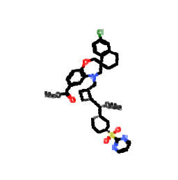 COC(=O)c1ccc2c(c1)N(C[C@@H]1CC[C@H]1[C@H](OC)[C@H]1CCC[C@@H](S(=O)(=O)c3ncccn3)C1)CC1(CCCc3cc(Cl)ccc31)CO2